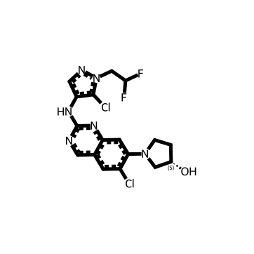 O[C@H]1CCN(c2cc3nc(Nc4cnn(CC(F)F)c4Cl)ncc3cc2Cl)C1